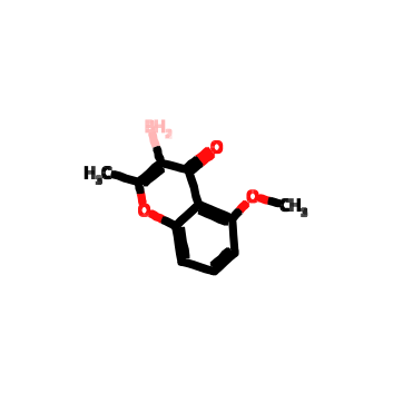 Bc1c(C)oc2cccc(OC)c2c1=O